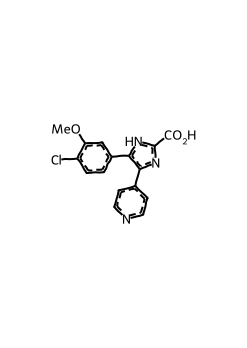 COc1cc(-c2[nH]c(C(=O)O)nc2-c2ccncc2)ccc1Cl